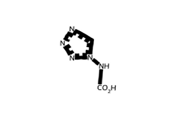 O=C(O)Nn1cnnn1